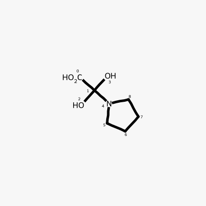 O=C(O)C(O)(O)N1CCCC1